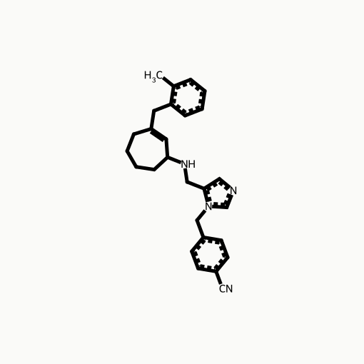 Cc1ccccc1CC1=CC(NCc2cncn2Cc2ccc(C#N)cc2)CCCC1